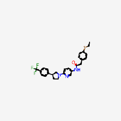 CCSc1ccc(CC(=O)Nc2ccc(N3CCC(c4ccc(C(F)(F)F)cc4)C3)nc2)cc1